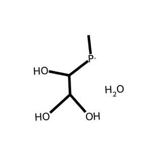 C[P]C(O)C(O)O.O